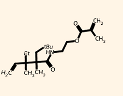 C=CC(C)(CC)C(C)(CC(C)(C)C)C(=O)NCCOC(=O)C(=C)C